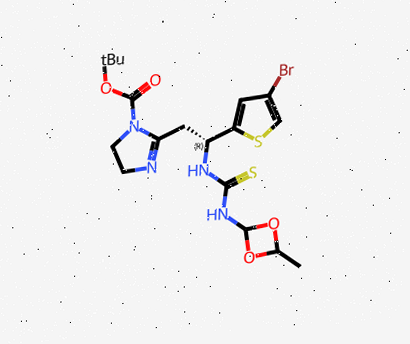 CC1OC(NC(=S)N[C@H](CC2=NCCN2C(=O)OC(C)(C)C)c2cc(Br)cs2)O1